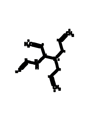 C=CCN(CC=C)C(C=C)N[C]=S